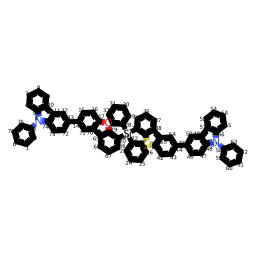 c1ccc(-n2c3ccccc3c3cc(-c4ccc5oc6c([Si](c7ccccc7)(c7ccccc7)c7cccc8c7sc7ccc(-c9ccc%10c(c9)c9ccccc9n%10-c9ccccc9)cc78)cccc6c5c4)ccc32)cc1